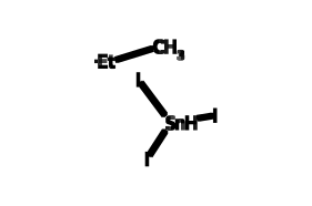 C[CH]C.[I][SnH]([I])[I]